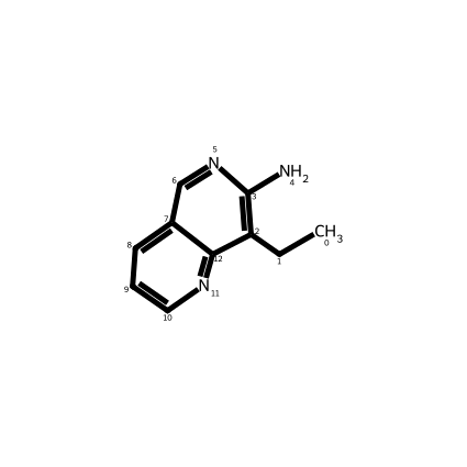 CCc1c(N)ncc2cccnc12